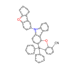 N#Cc1cccc2c1Oc1c(ccc3c1c1ccccc1n3-c1ccc3oc4ccccc4c3c1)[Si]2(c1ccccc1)c1ccccc1